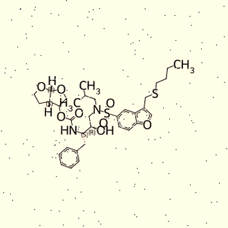 CCCCSCc1coc2ccc(S(=O)(=O)N(CC(C)C)C[C@@H](O)[C@H](Cc3ccccc3)NC(=O)OC3CO[C@H]4OCC[C@@H]34)cc12